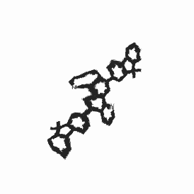 CC1(C)c2ccccc2-c2ccc(-c3cc4c(cc(-c5ccc6c(c5)C(C)(C)c5ccccc5-6)c5cccnc54)c4ncccc34)cc21